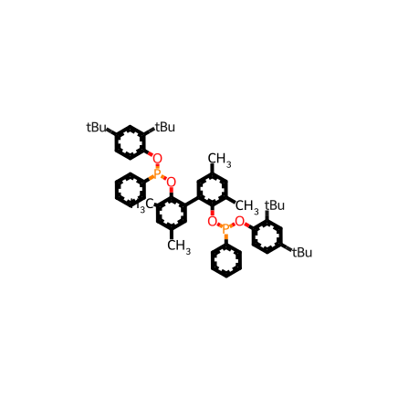 Cc1cc(C)c(OP(Oc2ccc(C(C)(C)C)cc2C(C)(C)C)c2ccccc2)c(-c2cc(C)cc(C)c2OP(Oc2ccc(C(C)(C)C)cc2C(C)(C)C)c2ccccc2)c1